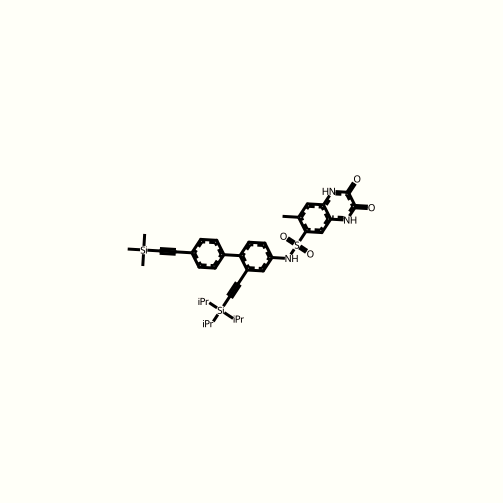 Cc1cc2[nH]c(=O)c(=O)[nH]c2cc1S(=O)(=O)Nc1ccc(-c2ccc(C#C[Si](C)(C)C)cc2)c(C#C[Si](C(C)C)(C(C)C)C(C)C)c1